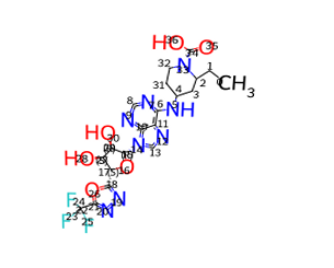 CCC1CC(Nc2ncnc3c2ncn3[C@@H]2O[C@H](c3nnc(C(F)(F)F)o3)[C@@H](O)[C@H]2O)CCN1C(=O)O